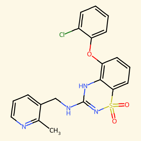 Cc1ncccc1CNC1=NS(=O)(=O)c2cccc(Oc3ccccc3Cl)c2N1